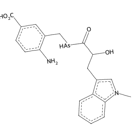 Cn1cc(CC(O)C(=O)[AsH]Cc2cc(C(=O)O)ccc2N)c2ccccc21